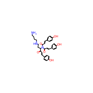 NCCCCNCCC(C(=O)C=Cc1ccc(O)cc1)N(C(=O)C=Cc1ccc(O)cc1)C(=O)C=Cc1ccc(O)cc1